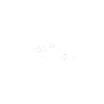 COc1cccc(CNC(=O)c2cc(-c3cc(C(=O)N(C)C)c4nc(N)nn4c3)cs2)c1